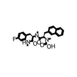 CNC(=O)[C@@H](Cc1ccc(F)cc1)N(C)C(=O)[C@@H](Cc1ccc2ccccc2c1)N(C)C(=O)O